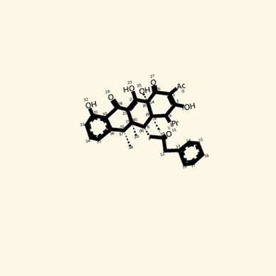 CC(=O)C1=C(O)C(C(C)C)[C@@]2(C)[C@H](CC(=O)Cc3ccccc3)[C@]3(C)C(=C(O)[C@@]2(O)C1=O)C(=O)c1c(O)cccc1[C@H]3C